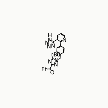 CCCCc1nc(C(=O)CC)nn1Cc1ccc(-c2ncccc2-c2nnn[nH]2)cc1